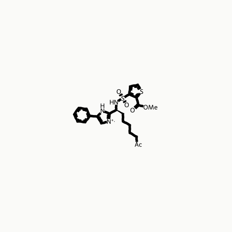 COC(=O)c1sccc1S(=O)(=O)N[C@@H](CCCCCC(C)=O)C1=[N+]C=C(c2ccccc2)N1